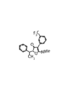 CNC1=C(c2cccc(C(F)(F)F)c2)C(=O)C(C(C)c2ccccc2)O1